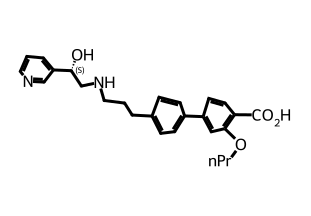 CCCOc1cc(-c2ccc(CCCNC[C@@H](O)c3cccnc3)cc2)ccc1C(=O)O